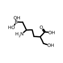 NC(CCC(CO)C(=O)O)CB(O)O